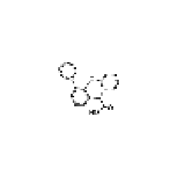 O=C(O)C1c2ccccc2Oc2c(-c3ccccc3)cccc21